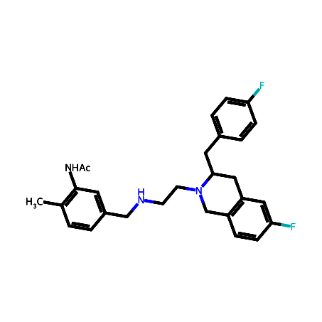 CC(=O)Nc1cc(CNCCN2Cc3ccc(F)cc3CC2Cc2ccc(F)cc2)ccc1C